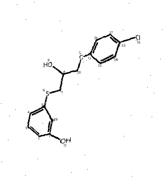 Oc1cccc(SCC(O)COc2ccc(Cl)cc2)c1